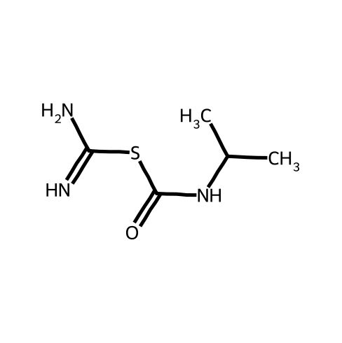 CC(C)NC(=O)SC(=N)N